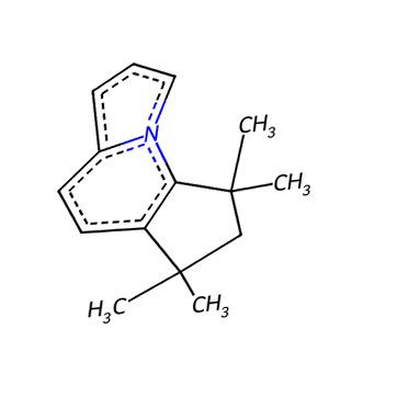 CC1(C)CC(C)(C)c2c1ccc1cccn21